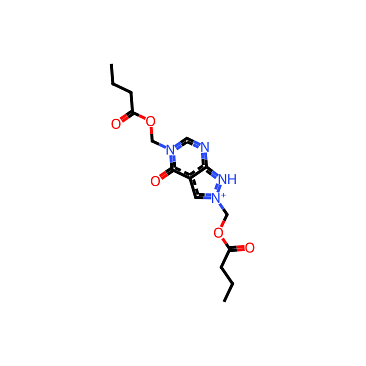 CCCC(=O)OCn1cnc2[nH][n+](COC(=O)CCC)cc2c1=O